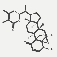 CC(=O)O[C@H]1C=CC(=O)[C@]2(CO)[C@H]3CC[C@]4(C)[C@@H]([C@H](C)[C@H]5CC(C)=C(C)C(=O)O5)CC[C@H]4[C@@H]3C[C@H]3O[C@]132